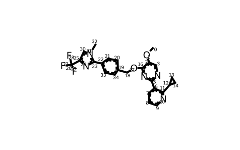 COc1cnc(-c2cccnc2C2CC2)nc1OCc1ccc(-c2nc(C(F)(F)F)cn2C)cc1